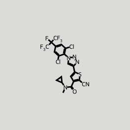 CN(C(=O)c1cc(-c2cn(-c3c(Cl)cc(C(F)(C(F)(F)F)C(F)(F)F)cc3Cl)nn2)sc1C#N)C1CC1